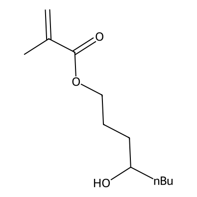 C=C(C)C(=O)OCCCC(O)CCCC